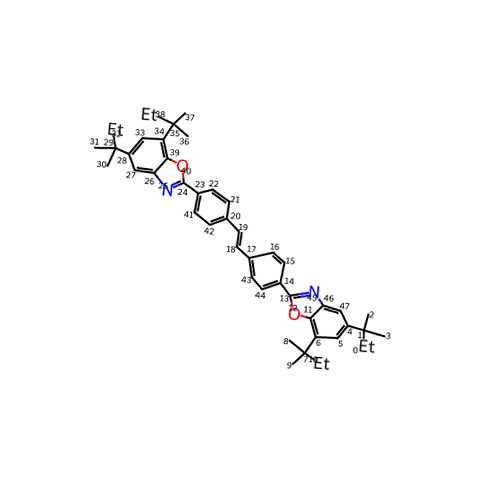 CCC(C)(C)c1cc(C(C)(C)CC)c2oc(-c3ccc(C=Cc4ccc(-c5nc6cc(C(C)(C)CC)cc(C(C)(C)CC)c6o5)cc4)cc3)nc2c1